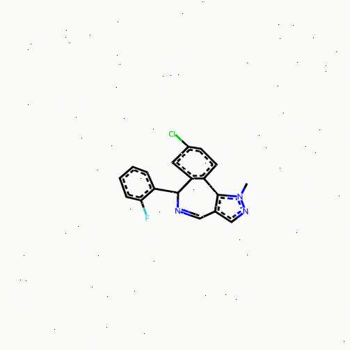 Cn1ncc2c1-c1ccc(Cl)cc1C(c1ccccc1F)N=C2